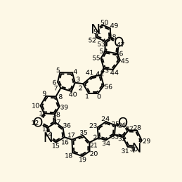 c1cc(-c2cccc(-c3ccc4oc5ncc(-c6cccc(-c7ccc8oc9ccncc9c8c7)c6)cc5c4c3)c2)cc(-c2ccc3oc4ccncc4c3c2)c1